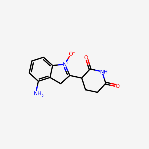 Nc1cccc2c1CC(C1CCC(=O)NC1=O)=[N+]2[O-]